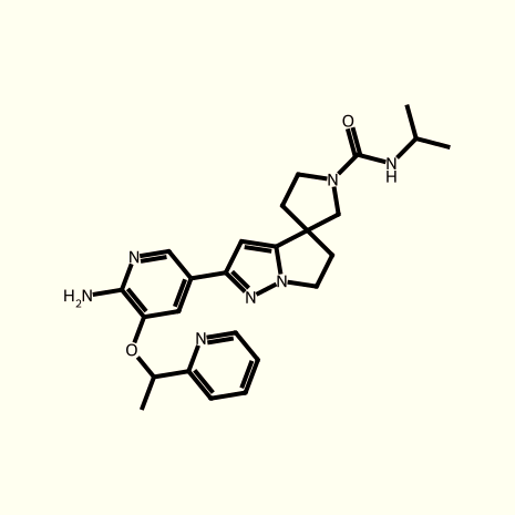 CC(C)NC(=O)N1CCC2(CCn3nc(-c4cnc(N)c(OC(C)c5ccccn5)c4)cc32)C1